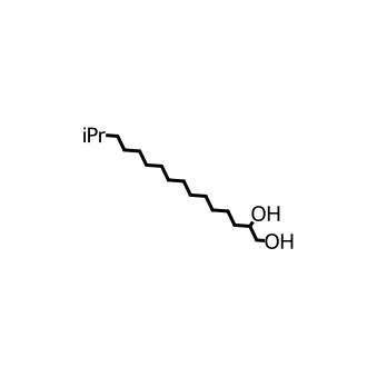 CC(C)CCCCCCCCCCCCC(O)CO